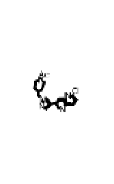 CC(=O)N1CCC(Cn2cc(-c3cnc4ccc(Cl)nc4c3)cn2)CC1